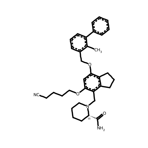 Cc1c(COc2cc(OCCCCC#N)c(CN3CCCC[C@H]3C(N)=O)c3c2CCC3)cccc1-c1ccccc1